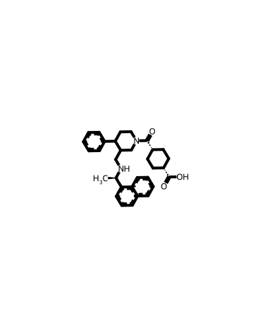 C[C@@H](NCC1CN(C(=O)[C@H]2CC[C@@H](C(=O)O)CC2)CCC1c1ccccc1)c1cccc2ccccc12